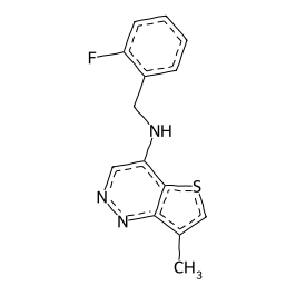 Cc1csc2c(NCc3ccccc3F)cnnc12